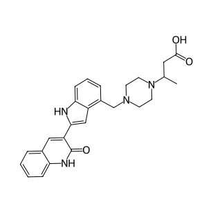 CC(CC(=O)O)N1CCN(Cc2cccc3[nH]c(-c4cc5ccccc5[nH]c4=O)cc23)CC1